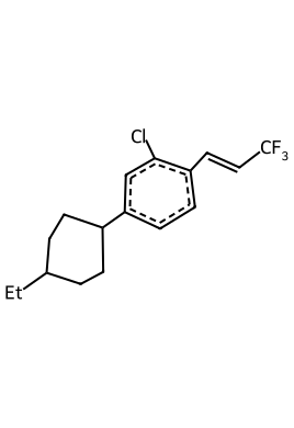 CCC1CCC(c2ccc(/C=C/C(F)(F)F)c(Cl)c2)CC1